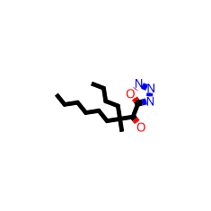 CCCCCCC(C)(CCCC)C(=O)c1nnno1